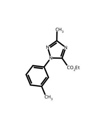 CCOC(=O)c1nc(C)nn1-c1cccc(C)c1